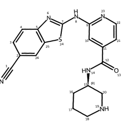 N#Cc1ccc2nc(Nc3cc(C(=O)N[C@@H]4CCCNC4)ccn3)sc2c1